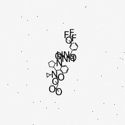 COC(=O)COC(=O)N(C1CC1)C1c2ccccc2N(C(=O)NNC(=O)c2cccc(OC(F)(F)F)c2)C2CCCC21